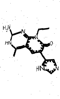 CCn1c(=O)c(-c2cnc[nH]2)cc2c1=NC(N)NC=2C